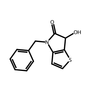 O=C1C(O)c2sccc2N1Cc1ccccc1